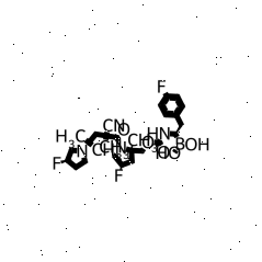 CC(C#N)(CC(C)(C)N1CC[C@@H](F)C1)C(=O)N1C[C@@H](F)C[C@]1(C)COC(=O)N[C@@H](Cc1ccc(F)cc1)B(O)O